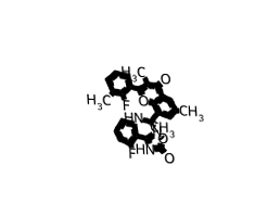 Cc1cc([C@@H](C)Nc2cccc(F)c2-c2noc(=O)[nH]2)c2oc(-c3cccc(C)c3F)c(C)c(=O)c2c1